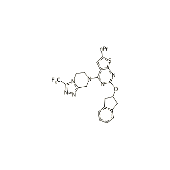 CCCc1cc2c(N3CCn4c(nnc4C(F)(F)F)C3)nc(OC3Cc4ccccc4C3)nc2s1